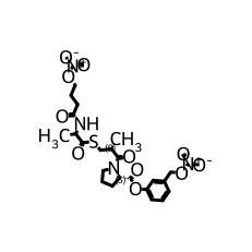 CC(NC(=O)CCCO[N+](=O)[O-])C(=O)SC[C@@H](C)C(=O)N1CCC[C@H]1C(=O)Oc1cccc(CO[N+](=O)[O-])c1